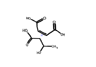 CC(O)CC(=O)O.O=C(O)/C=C\C(=O)O